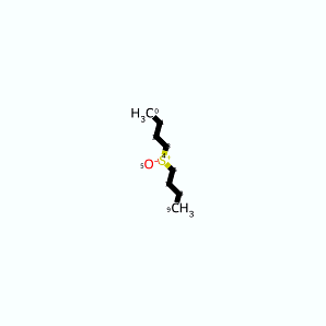 CCCC[S+]([O-])CCCC